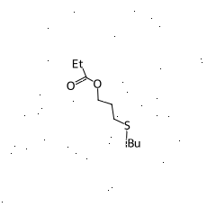 CCC(=O)OCCCSC(C)CC